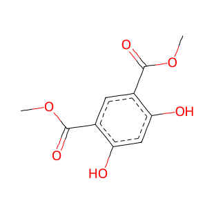 COC(=O)c1cc(C(=O)OC)c(O)cc1O